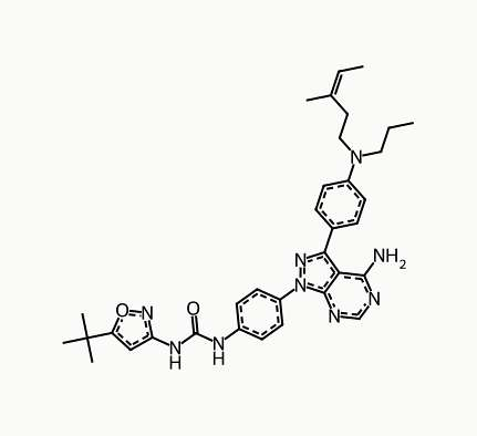 C/C=C(/C)CCN(CCC)c1ccc(-c2nn(-c3ccc(NC(=O)Nc4cc(C(C)(C)C)on4)cc3)c3ncnc(N)c23)cc1